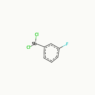 Fc1ccc[c]([Sb]([Cl])[Cl])c1